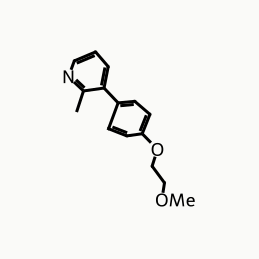 COCCOc1ccc(-c2cccnc2C)cc1